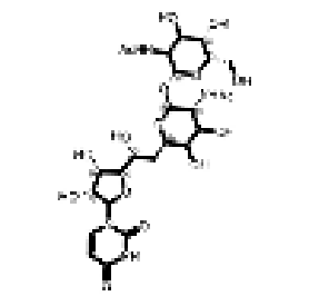 CC(=O)NC1C(O)[C@H](O)[C@H](CO)O[C@@H]1O[C@@H]1O[C@H](C[C@@H](O)[C@H]2OC(n3ccc(=O)[nH]c3=O)[C@H](O)[C@@H]2O)C(O)C(O)[C@H]1NC(C)=O